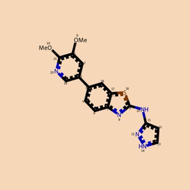 COc1cc(-c2ccc3nc(Nc4cc[nH]n4)sc3c2)cnc1OC